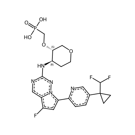 O=P(O)(O)CO[C@@H]1COCC[C@H]1Nc1ncc2c(F)cc(-c3ccc(C4(C(F)F)CC4)cn3)n2n1